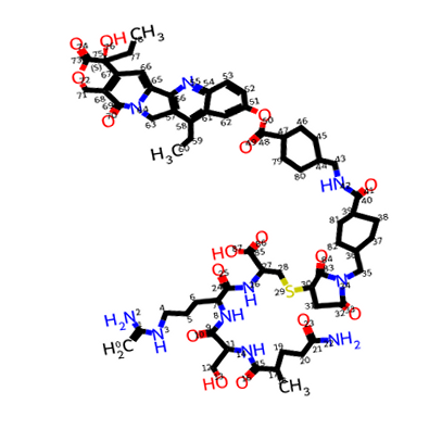 C=C(N)NCCCC(NC(=O)C(CO)NC(=O)C(C)CCC(N)=O)C(=O)NC(CSC1CC(=O)N(CC2CCC(C(=O)NCC3CCC(C(=O)Oc4ccc5nc6c(c(CC)c5c4)Cn4c-6cc5c(c4=O)COC(=O)[C@]5(O)CC)CC3)CC2)C1=O)C(=O)O